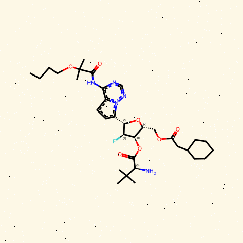 CCCCOC(C)(C)C(=O)Nc1ncnn2c([C@@H]3O[C@H](COC(=O)CC4CCCCC4)[C@@H](OC(=O)[C@@H](N)C(C)(C)C)[C@H]3F)ccc12